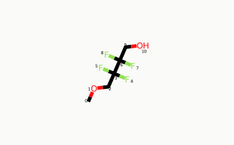 COCC(F)(F)C(F)(F)CO